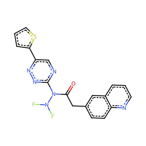 O=C(Cc1ccc2ncccc2c1)N(c1ncc(-c2cccs2)nn1)N(F)F